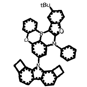 CC(C)(C)c1ccc2oc3c(c2c1)B1c2ccccc2Oc2cc(-n4c5c6c(ccc5c5ccc7c(c54)CC7)CC6)cc(c21)N3c1ccccc1